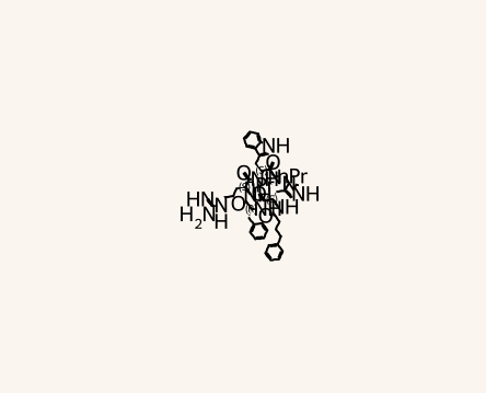 CCCN(CCC)C(=O)[C@H](Cc1c[nH]c2ccccc12)NC(=O)[C@H](CCCNC(=N)N)NC(=O)[C@@H](Cc1ccccc1)NC(=O)[C@H](Cc1c[nH]cn1)NC(=O)CCCc1ccccc1